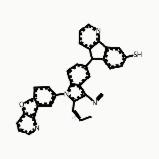 C=Nc1c(/C=C\C)n(-c2ccc3oc4cccnc4c3c2)c2ccc(C3c4ccc(S)cc4-c4ncccc43)cc12